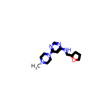 CN1CCN(c2cc(NCC3CCCO3)ncn2)CC1